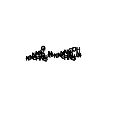 CN1CCN(c2nc3nc(N4CCC5(CCO5)CC4)c(C(=O)Nc4cccc(-c5cnn(CCN6CCN(c7nc8nc(N9CCC(C)(O)CC9)c(C(=O)Nc9cccc(-c%10cnn(C)c%10)n9)cc8o7)CC6)c5)n4)cc3o2)CC1